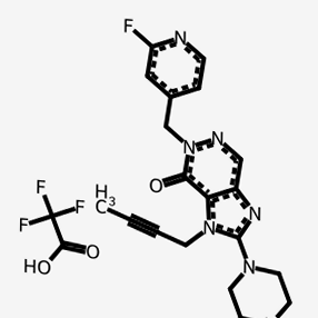 CC#CCn1c(N2CCNCC2)nc2cnn(Cc3ccnc(F)c3)c(=O)c21.O=C(O)C(F)(F)F